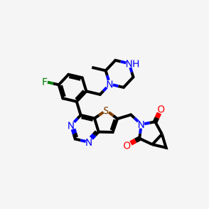 CC1CNCCN1Cc1ccc(F)cc1-c1ncnc2cc(CN3C(=O)C4CC4C3=O)sc12